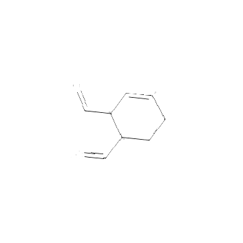 O=[C]C1C=CCCC1[C]=O